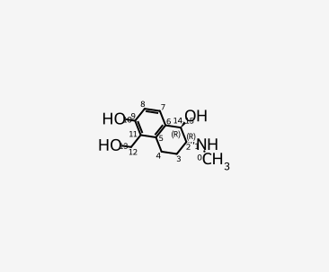 CN[C@@H]1CCc2c(ccc(O)c2CO)[C@H]1O